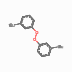 CC(C)(C)c1cccc(OOc2cccc(C(C)(C)C)c2)c1